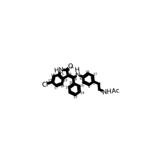 CC(=O)NCCc1ccc(N/C(=C2\C(=O)Nc3cc(Cl)ccc32)c2ccccc2)cc1